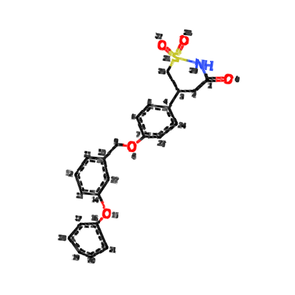 O=C1CC(c2ccc(OCc3cccc(Oc4ccccc4)c3)cc2)CS(=O)(=O)N1